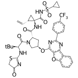 C=C[C@@H]1C[C@]1(NC(=O)[C@@H]1C[C@@H](Oc2nc(-c3ccc(C(F)(F)F)cc3)nc3c2oc2ccccc23)CN1C(=O)[C@@H](NC1=NC(=O)CS1)C(C)(C)C)C(=O)NS(=O)(=O)C1CC1